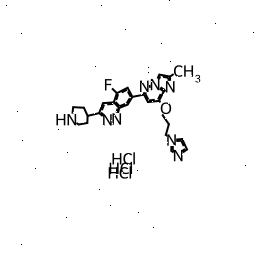 Cc1cn2nc(-c3cc(F)c4cc(C5CCNCC5)nnc4c3)cc(OCCCn3ccnc3)c2n1.Cl.Cl.Cl